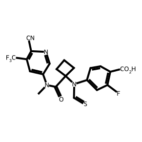 CN(C(=O)C1(N(C=S)c2ccc(C(=O)O)c(F)c2)CCC1)c1cnc(C#N)c(C(F)(F)F)c1